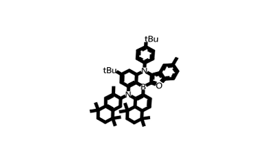 CC1=CC2=C(CC1N1C3=C4B(C5=C1C1C(C=C5)C(C)(C)CCC1(C)C)c1oc5ccc(C)cc5c1N(c1ccc(C(C)(C)C)cc1)C4CC(C(C)(C)C)=C3)C(C)(C)CCC2(C)C